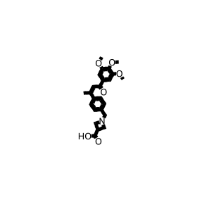 COc1cc(C(=O)C=C(C)c2ccc(CN3CC(C(=O)O)C3)cc2)cc(OC)c1OC